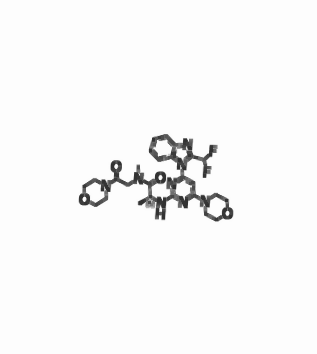 C[C@H](Nc1nc(N2CCOCC2)cc(-n2c(C(F)F)nc3ccccc32)n1)C(=O)N(C)CC(=O)N1CCOCC1